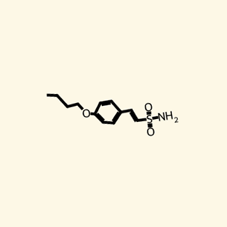 CCCCOc1ccc(C=CS(N)(=O)=O)cc1